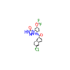 O=C(Nc1ccc(OC(F)F)cc1-n1nn[nH]c1=O)c1ccc2cc(Cl)ccc2c1